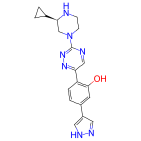 Oc1cc(-c2cn[nH]c2)ccc1-c1cnc(N2CCN[C@H](C3CC3)C2)nn1